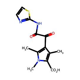 Cc1c(C(=O)C(=O)Nc2nccs2)c(C)n(C)c1C(=O)O